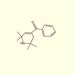 CC1(C)C=C(C(=O)c2ccccc2)CC(C)(C)N1